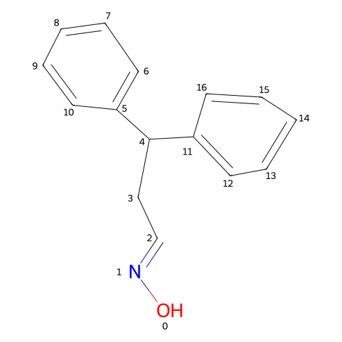 ON=CCC(c1ccccc1)c1ccccc1